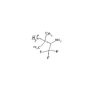 CC(C)(C)C(N)C(F)(F)F